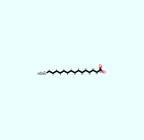 CCCCCCCCCCCCCCCCCCCCCCCCC([O])=O